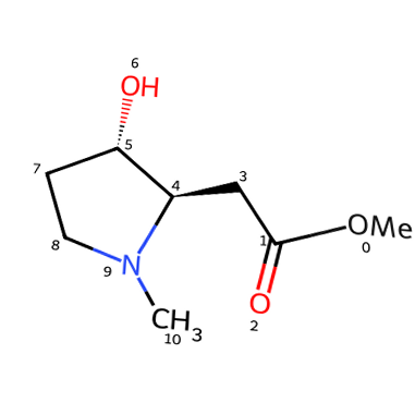 COC(=O)C[C@@H]1[C@@H](O)CCN1C